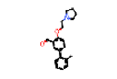 Cc1ccccc1-c1ccc(OCCN2CCCC2)c(C=O)c1